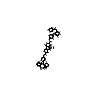 CCC1(CC)c2cc(/C=C/c3ccc(N4C5=C(C=CCC5)CCc5ccccc54)cc3)ccc2-c2ccc(/C=C/c3ccc(N4c5ccccc5CCc5ccccc54)cc3)cc21